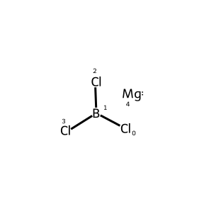 ClB(Cl)Cl.[Mg]